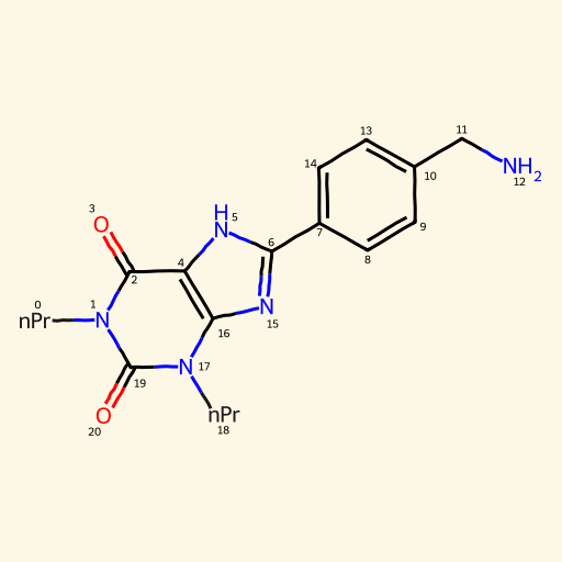 CCCn1c(=O)c2[nH]c(-c3ccc(CN)cc3)nc2n(CCC)c1=O